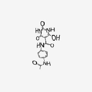 CC(=O)Nc1ccc(NC(=O)c2c(O)[nH]c(=O)[nH]c2=O)cc1